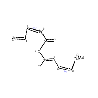 C=C/C=N\C(=C)OC(C)=C/C=C\NC